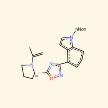 C=C(C)N1CCC[C@H]1c1nc(-c2cccc3c2ccn3CCCCCCCCC)no1